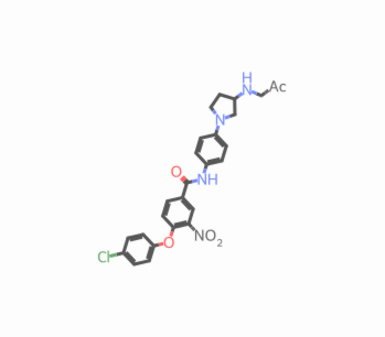 CC(=O)CNC1CCN(c2ccc(NC(=O)c3ccc(Oc4ccc(Cl)cc4)c([N+](=O)[O-])c3)cc2)C1